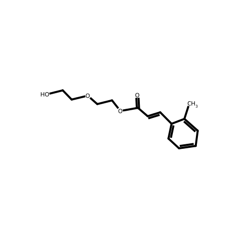 Cc1ccccc1/C=C/C(=O)OCCOCCO